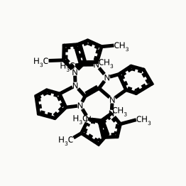 Cc1ccc(C)n1N1C(=C2N(n3c(C)ccc3C)c3ccccc3N2n2c(C)ccc2C)N(n2c(C)ccc2C)c2ccccc21